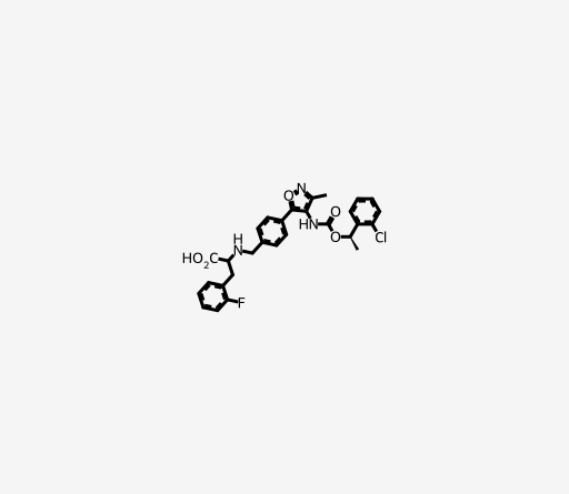 Cc1noc(-c2ccc(CNC(Cc3ccccc3F)C(=O)O)cc2)c1NC(=O)O[C@H](C)c1ccccc1Cl